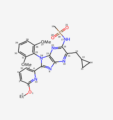 CCOc1cccc(-c2nc3nc(CC4CC4)c(NS(C)(=O)=O)nc3n2-c2c(OC)cccc2OC)n1